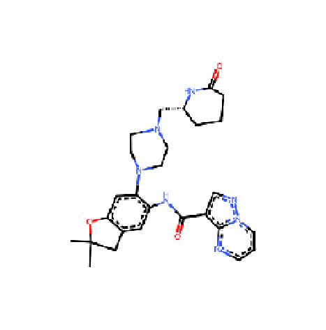 CC1(C)Cc2cc(NC(=O)c3cnn4cccnc34)c(N3CCN(C[C@H]4CCCC(=O)N4)CC3)cc2O1